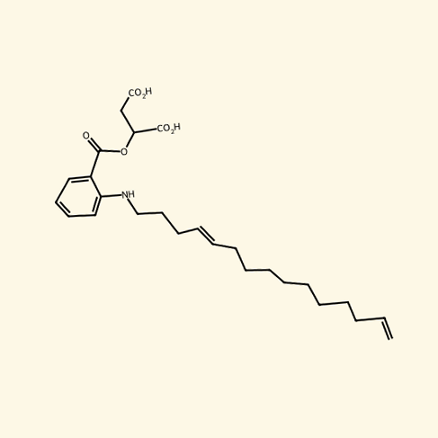 C=CCCCCCCCCC=CCCCNc1ccccc1C(=O)OC(CC(=O)O)C(=O)O